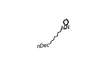 CCCCCCCCCCCCCCCCCCn1cnc2ccccc21